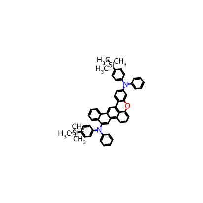 C[Si](C)(C)c1ccc(N(c2ccccc2)c2ccc3c(c2)Oc2cccc4c2c-3cc2c3ccccc3c(N(c3ccccc3)c3ccc([Si](C)(C)C)cc3)cc42)cc1